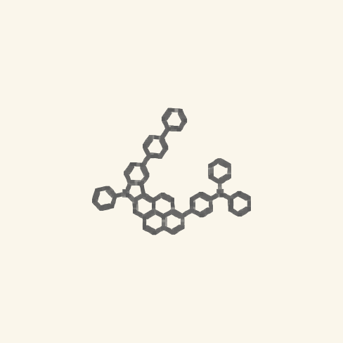 c1ccc(-c2ccc(-c3ccc4c(c3)c3c5ccc6c(-c7ccc(N(c8ccccc8)c8ccccc8)cc7)ccc7ccc(cc3n4-c3ccccc3)c5c76)cc2)cc1